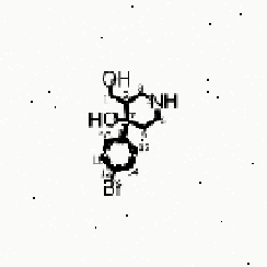 OCC1CNCCC1(O)c1ccc(Br)cc1